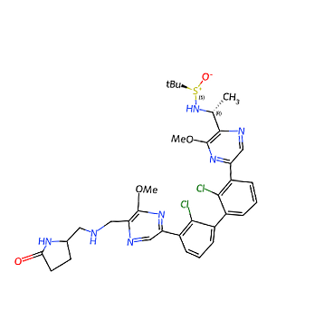 COc1nc(-c2cccc(-c3cccc(-c4cnc([C@@H](C)N[S@+]([O-])C(C)(C)C)c(OC)n4)c3Cl)c2Cl)cnc1CNCC1CCC(=O)N1